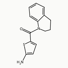 Nc1ccc(C(=O)N2CCCc3ccccc32)s1